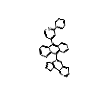 C/C=C\C(=C/C(=S)C1=CC=CCC1)c1c2ccccc2c(-c2cc3ccccc3c3c2C=CC3)c2ccccc12